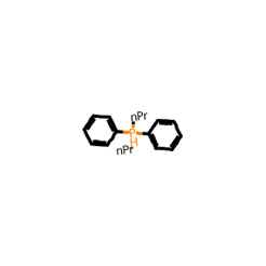 CCC[PH](CCC)(c1ccccc1)c1ccccc1